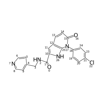 O=C(NCc1ccncc1)c1cc2ccc(=O)n(-c3ccc(Cl)cc3)c2[nH]1